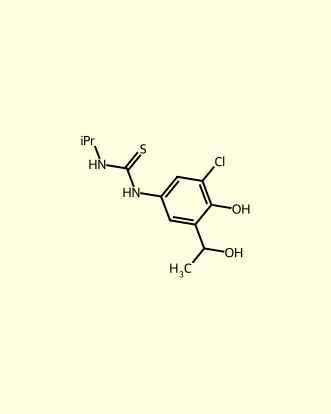 CC(C)NC(=S)Nc1cc(Cl)c(O)c(C(C)O)c1